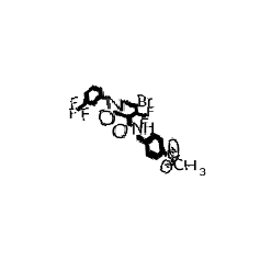 CS(=O)(=O)c1ccc(CNC(=O)c2c(C(F)F)c(Br)cn(-c3cccc(C(F)(F)F)c3)c2=O)cc1